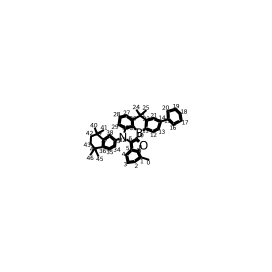 Cc1cccc2c3c(oc12)B1c2ccc(-c4ccccc4)cc2C(C)(C)c2cccc(c21)N3c1ccc2c(c1)C(C)(C)CCC2(C)C